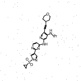 CC(C)Nc1cc(Nc2ccnc(-c3cnn(S(=O)(=O)C4CC4)c3)n2)ncc1C#CC1CCOCC1